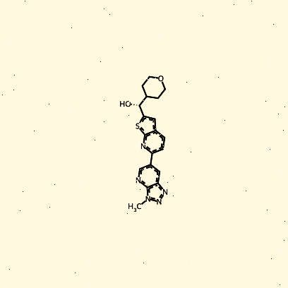 Cn1nnc2cc(-c3ccc4cc([C@H](O)C5CCOCC5)sc4n3)cnc21